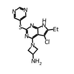 CCc1[nH]c2nc(Sc3cncnc3)nc(N3CC(N)C3)c2c1Cl